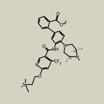 C[C@@H]1CN(c2ccc(-c3ccccc3C(=O)OF)cc2NC(=O)c2cnc(OCC[Si](C)(C)C)cc2C(F)(F)F)C[C@H](C)N1C